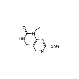 CSc1ncc2c(n1)N(C(C)C)C(=O)NC2